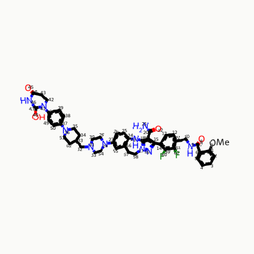 COc1ccccc1C(=O)NCc1ccc(-c2nn3c(c2C(N)=O)Nc2ccc(N4CCN(CC5CCN(c6ccc(N7CCC(=O)NC7O)cc6)CC5)CC4)cc2CC3)c(F)c1F